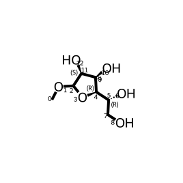 COC1O[C@H]([C@H](O)CO)[C@H](O)[C@@H]1O